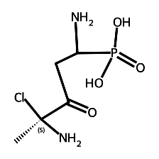 C[C@](N)(Cl)C(=O)CC(N)P(=O)(O)O